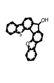 OC1c2ccc3c(oc4ccccc43)c2-c2c1ccc1c2sc2ccccc21